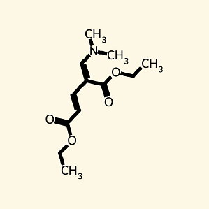 CCOC(=O)C=CC(=CN(C)C)C(=O)OCC